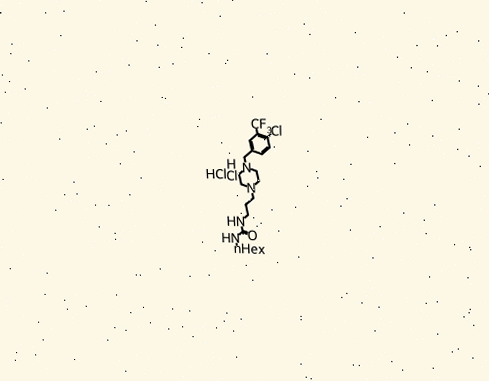 CCCCCCNC(=O)NCCCN1CCN(Cc2ccc(Cl)c(C(F)(F)F)c2)CC1.Cl.Cl